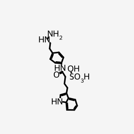 NNCCc1ccc(NC(=O)CCCc2c[nH]c3ccccc23)cc1.O=S(=O)(O)O